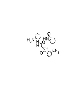 NC1CCCCC1NC(=O)CNC(=O)c1cccc(C(F)(F)F)c1.O=C1NC2CCCCC12